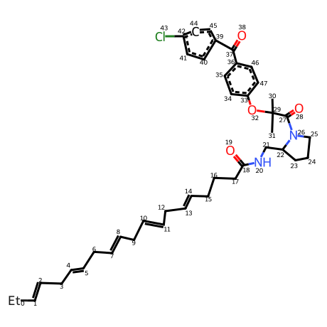 CCC=CCC=CCC=CCC=CCC=CCCCC(=O)NCC1CCCN1C(=O)C(C)(C)Oc1ccc(C(=O)c2ccc(Cl)cc2)cc1